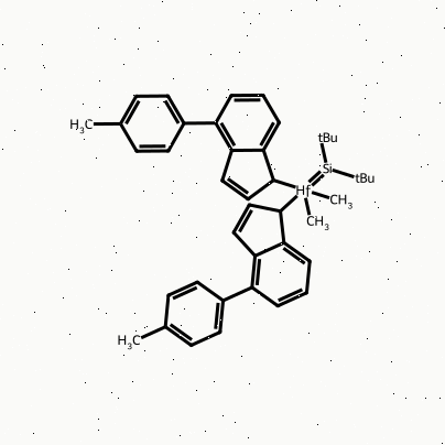 Cc1ccc(-c2cccc3c2C=C[CH]3[Hf]([CH3])([CH3])([CH]2C=Cc3c(-c4ccc(C)cc4)cccc32)=[Si](C(C)(C)C)C(C)(C)C)cc1